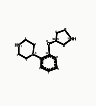 c1ccc(N2CCNCC2)c(O[C@H]2CCNC2)c1